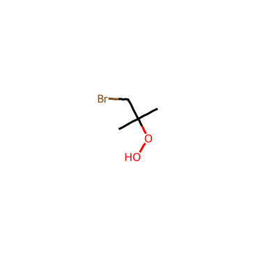 CC(C)(CBr)OO